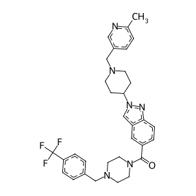 Cc1ccc(CN2CCC(n3cc4cc(C(=O)N5CCN(Cc6ccc(C(F)(F)F)cc6)CC5)ccc4n3)CC2)cn1